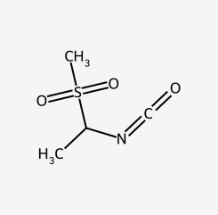 CC(N=C=O)S(C)(=O)=O